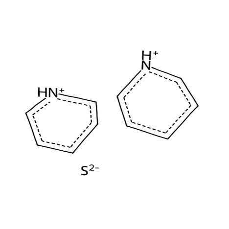 [S-2].c1cc[nH+]cc1.c1cc[nH+]cc1